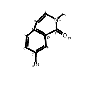 Cn1ccc2ccc(Br)cc2c1=O